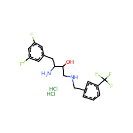 Cl.Cl.NC(Cc1cc(F)cc(F)c1)C(O)CNCc1cccc(C(F)(F)F)c1